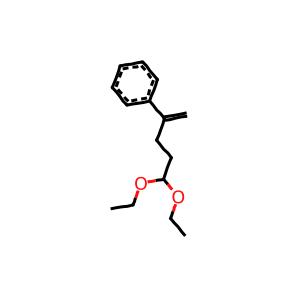 C=C(CCC(OCC)OCC)c1ccccc1